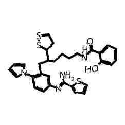 NC(=Nc1ccc(-n2cccc2)c(CC(CCCCNC(=O)c2ccccc2O)C2CCSS2)c1)c1cccs1